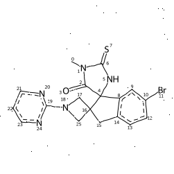 CN1C(=O)C2(NC1=S)c1cc(Br)ccc1CC21CN(c2ncccn2)C1